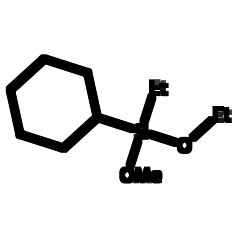 CCO[Si](CC)(OC)C1CCCCC1